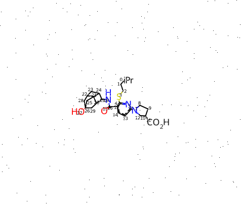 CC(C)CCSc1nc(N2CC[C@@H](C(=O)O)C2)ccc1C(=O)NC1C2CC3CC1CC(O)(C3)C2